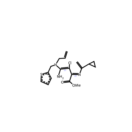 C=CCN(Cc1cccs1)/C(N)=C(Cl)/C(=N\C(=C)C1CC1)C(=O)OC